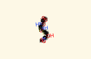 CC(C)(C)OC(=O)N1CCC(C(O)c2ccc3cc(C(=O)Nc4cc(NC(=O)c5ccc6c(c5)OCCO6)ccc4F)sc3c2)CC1